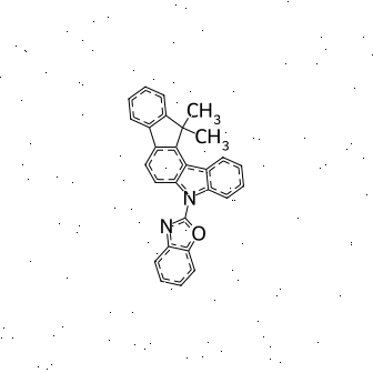 CC1(C)c2ccccc2-c2ccc3c(c21)c1ccccc1n3-c1nc2ccccc2o1